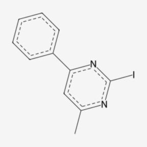 Cc1cc(-c2ccccc2)nc(I)n1